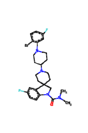 CCc1ccc(F)cc1N1CCC(N2CCC3(CC2)CN(C(=O)N(C)C)c2ccc(F)cc23)CC1